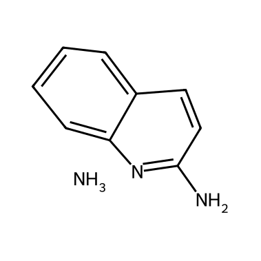 N.Nc1ccc2ccccc2n1